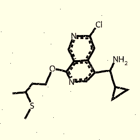 CSC(C)CCOc1ncc(C(N)C2CC2)c2cc(Cl)ncc12